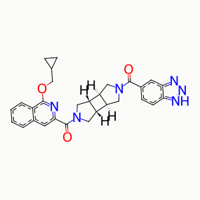 O=C(c1ccc2[nH]nnc2c1)N1C[C@@H]2[C@H](C1)[C@H]1CN(C(=O)c3cc4ccccc4c(OCC4CC4)n3)C[C@@H]21